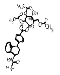 CC(=O)NC1CCC(c2ccc(C(=O)O[C@@H]3OC(COC(C)=O)[C@@H](O)C(OC(C)=O)C3OC(C)=O)cc2)c2ccccc21